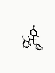 C[C@H](c1ncncc1F)[C@](C)(Cn1cncn1)c1ccc(F)cc1F